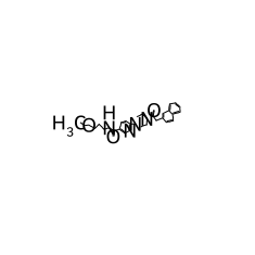 CCOCCCNC(=O)c1ccc(N2CCN(C(=O)Cc3ccc4ccccc4c3)CC2)nc1